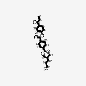 C=CC(=O)c1ccc(OC(=O)c2ccc(C3OCC(CCCF)CO3)cc2)cc1